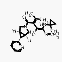 C=N/C(NC1(C)CC1)=C(\C)C(C(=O)N1C[C@@H]2[C@H](C1)[C@H]2c1ccccn1)=C(C)C